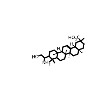 CC1(C(=O)O)CC[C@]2(C)CC[C@]3(C)C(=CC[C@@H]4[C@@]5(C)CCC(C(N)CO)C(C)(C)C5CC[C@]43C)[C@@H]2C1